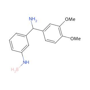 BNc1cccc(C(N)c2ccc(OC)c(OC)c2)c1